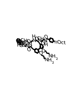 CCCCCCCCc1ccc(C(=O)NCC(=O)N(C)C2C(=O)NCC(=O)NC(C(=O)NCB3O[C@@H]4CC5CC(C5(C)C)[C@]4(C)O3)Cc3ccc(OCCCN)c(c3)-c3cc2ccc3OCCCN)cc1